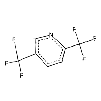 FC(F)(F)c1[c]nc(C(F)(F)F)cc1